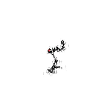 Cc1c(-c2ccc(N3CCc4cccc(C(=O)Nc5nc6ccccc6s5)c4C3)nc2C(=O)O)cnn1CC12CC3(C)CC(CC(C)(C3)C1)C2OCCOCCOCCN(C)C(=O)OCc1ccc(O[C@@H]2O[C@H](C(=O)O)[C@@H](O)[C@H](O)[C@H]2O)c(NC(=O)CCN)c1